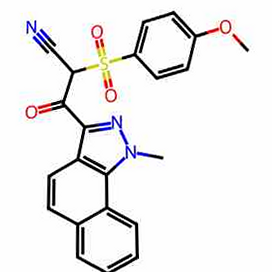 COc1ccc(S(=O)(=O)C(C#N)C(=O)c2nn(C)c3c2ccc2ccccc23)cc1